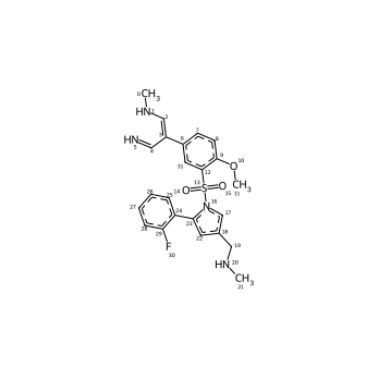 CN/C=C(\C=N)c1ccc(OC)c(S(=O)(=O)n2cc(CNC)cc2-c2ccccc2F)c1